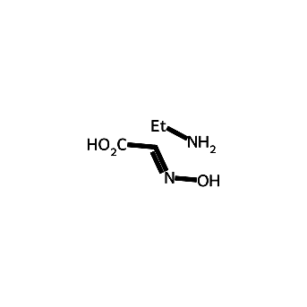 CCN.O=C(O)C=NO